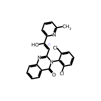 Cc1cccc(/C(O)=C/c2nc3ccccc3c(=O)n2-c2c(Cl)cccc2Cl)n1